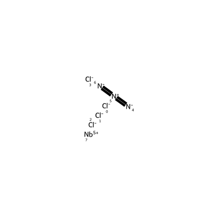 [Cl-].[Cl-].[Cl-].[Cl-].[N-]=[N+]=[N-].[Nb+5]